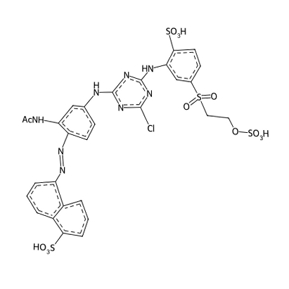 CC(=O)Nc1cc(Nc2nc(Cl)nc(Nc3cc(S(=O)(=O)CCOS(=O)(=O)O)ccc3S(=O)(=O)O)n2)ccc1N=Nc1cccc2c(S(=O)(=O)O)cccc12